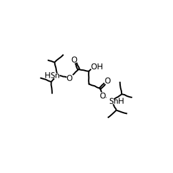 C[CH](C)[SnH]([O]C(=O)CC(O)C(=O)[O][SnH]([CH](C)C)[CH](C)C)[CH](C)C